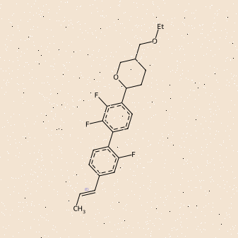 C/C=C/c1ccc(-c2ccc(C3CCC(COCC)CO3)c(F)c2F)c(F)c1